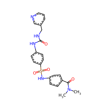 CN(C)C(=O)c1ccc(NS(=O)(=O)c2ccc(NC(=O)NCc3cccnc3)cc2)cc1